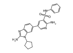 Nc1ncc(-c2ccc3nc(N)n(C4CCCC4)c3c2)cc1S(=O)(=O)Nc1ccccc1